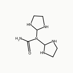 NC(=O)N(C1NCCN1)C1NCCN1